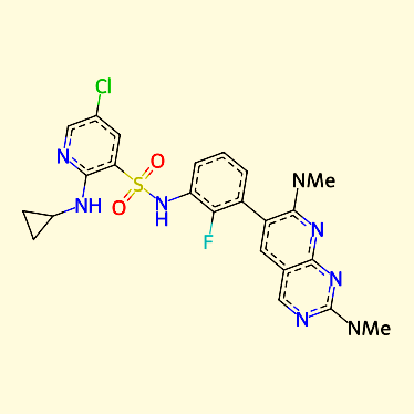 CNc1ncc2cc(-c3cccc(NS(=O)(=O)c4cc(Cl)cnc4NC4CC4)c3F)c(NC)nc2n1